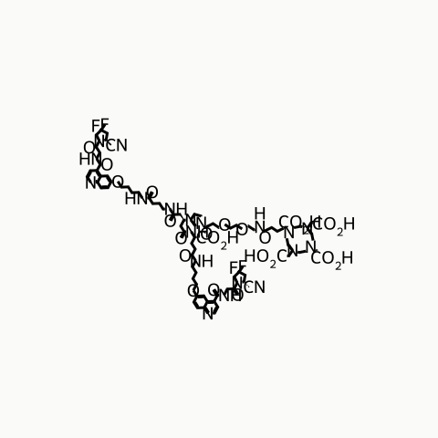 N#C[C@@H]1CC(F)(F)CN1C(=O)CNC(=O)c1ccnc2ccc(OCCCCNC(=O)CCCNC(=O)C[C@H](CC(=O)N[C@H](CCC(=O)NCCCCOc3ccc4nccc(C(=O)NCC(=O)N5CC(F)(F)C[C@@H]5C#N)c4c3)C(=O)O)N3CCN(C(=O)CCOCCOCCNC(=O)CCC(C(=O)O)N4CCN(CC(=O)O)CCN(CC(=O)O)CCN(CC(=O)O)CC4)C3)cc12